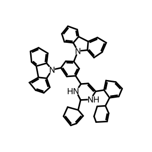 C1=CCC(C2NC(c3ccccc3C3C=CCCC3)=CC(c3cc(-n4c5ccccc5c5ccccc54)cc(-n4c5ccccc5c5ccccc54)c3)N2)C=C1